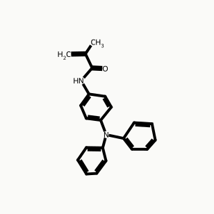 C=C(C)C(=O)Nc1ccc(N(c2ccccc2)c2ccccc2)cc1